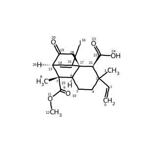 C=CC1(C)CC[C@H]2[C@](C)(C(=O)OC)[C@@H]3C=C(I)[C@]2(CC3=O)[C@H]1C(=O)O